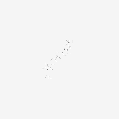 N#CCCNS(=O)(=O)c1ccc(C(=O)Oc2ccc3nc(N)sc3c2)cc1